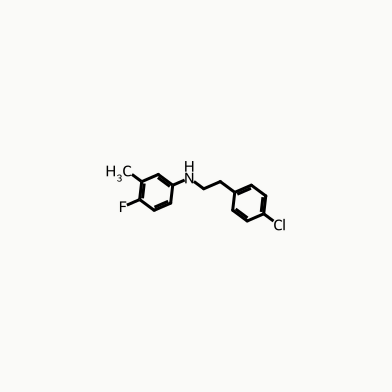 Cc1cc(NCCc2ccc(Cl)cc2)ccc1F